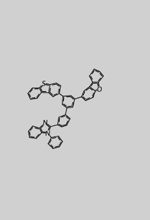 c1ccc(-n2c(-c3cccc(-c4cc(-c5ccc6oc7ccccc7c6c5)cc(-c5ccc6sc7ccccc7c6c5)c4)c3)nc3ccccc32)cc1